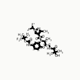 Cc1nn(C(F)F)cc1S(=O)(=O)N1c2cc(NC(=O)OC(C)(C)C(F)(F)F)ccc2O[C@@H](CNC(=O)C(C)(C)O)[C@H]1C